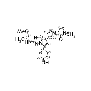 COC[C@H](C)Nc1ncc2c(-c3cnn([C@@H]4CCN(C)C4=O)c3)cc([C@H]3CC[C@H](O)CC3)n2n1